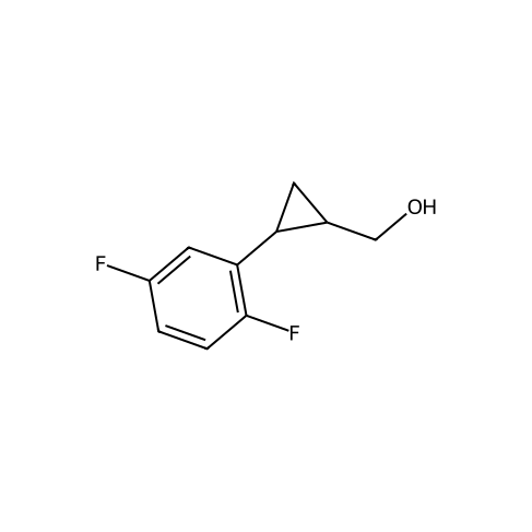 OCC1CC1c1cc(F)ccc1F